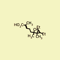 CCC1C(CC)C1(C)C(C)(C)CC/C=C(\C)C(=O)O